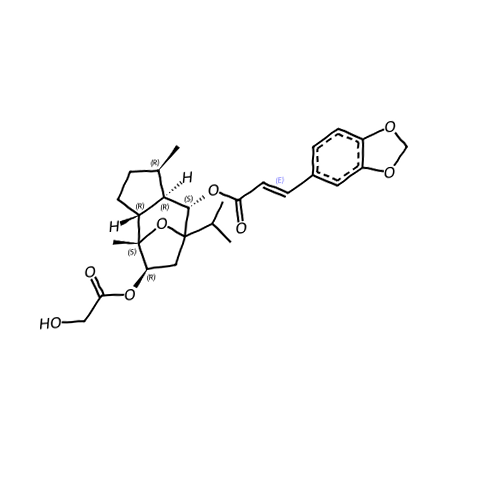 CC(C)C12C[C@@H](OC(=O)CO)[C@@](C)(O1)[C@@H]1CC[C@@H](C)[C@H]1[C@@H]2OC(=O)/C=C/c1ccc2c(c1)OCO2